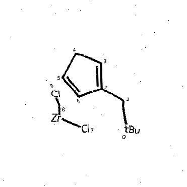 CC(C)(C)CC1=C[CH]C=C1.[Cl][Zr][Cl]